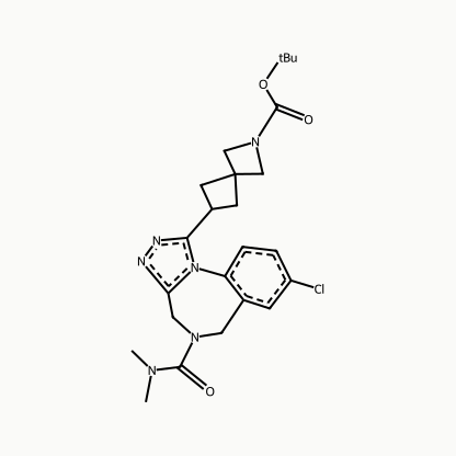 CN(C)C(=O)N1Cc2cc(Cl)ccc2-n2c(nnc2C2CC3(C2)CN(C(=O)OC(C)(C)C)C3)C1